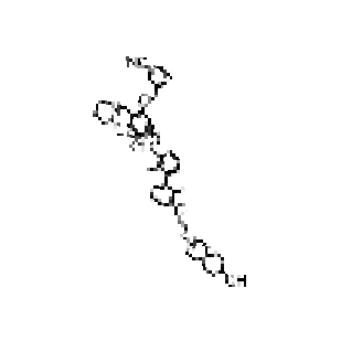 Cc1c(COc2cc(OCc3cncc(C#N)c3)c(CN3CCCC[C@H]3C(=O)O)cc2Cl)cccc1-c1cccc(OCCCN2CCC3(CCC(O)CC3)CC2)c1C